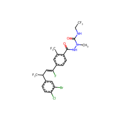 CN(NC(=O)c1ccc(C(F)=CC(c2ccc(Cl)c(Br)c2)C(F)(F)F)cc1C(F)(F)F)C(=O)NCC(F)(F)F